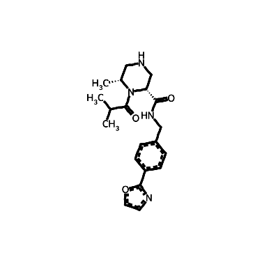 CC(C)C(=O)N1[C@H](C)CNC[C@@H]1C(=O)NCc1ccc(-c2ncco2)cc1